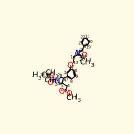 COC(=O)CC1=C(c2cccc(OCCc3nc(-c4ccccc4)oc3C)c2)CN(C(=O)OC(C)(C)C)C1